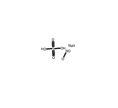 O=S(=O)(O)O.O=[NH+][O-].[NaH]